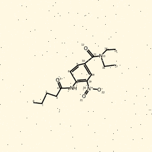 CCCCC(=O)Nc1ccc(C(=O)N(CC)CC)cc1[N+](=O)[O-]